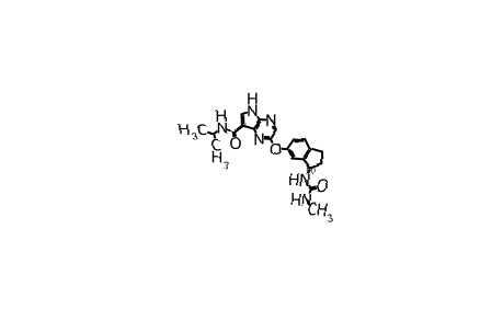 CNC(=O)N[C@@H]1CCc2ccc(Oc3cnc4[nH]cc(C(=O)NC(C)C)c4n3)cc21